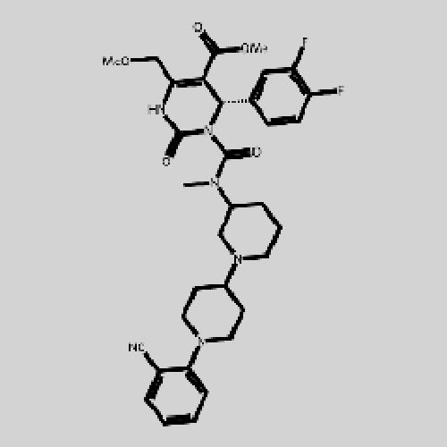 COCC1=C(C(=O)OC)[C@H](c2ccc(F)c(F)c2)N(C(=O)N(C)C2CCCN(C3CCN(c4ccccc4C#N)CC3)C2)C(=O)N1